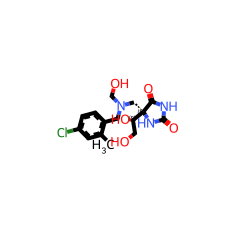 Cc1cc(Cl)ccc1CN(CO)C[C@@]1([C@H](O)CO)NC(=O)NC1=O